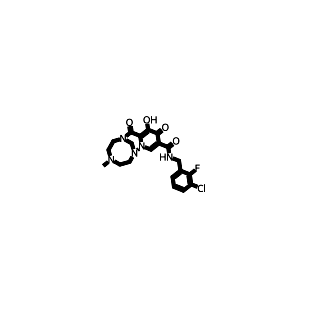 CN1CCN2CN(CC1)n1cc(C(=O)NCc3cccc(Cl)c3F)c(=O)c(O)c1C2=O